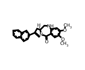 COc1cc2c(cc1OC)C(=O)N1C=C(c3ccc4ccccc4c3)C[C@H]1CN2